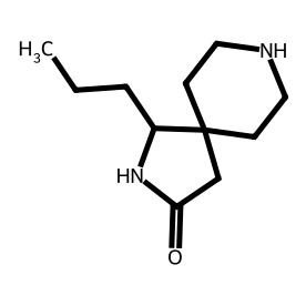 CCCC1NC(=O)CC12CCNCC2